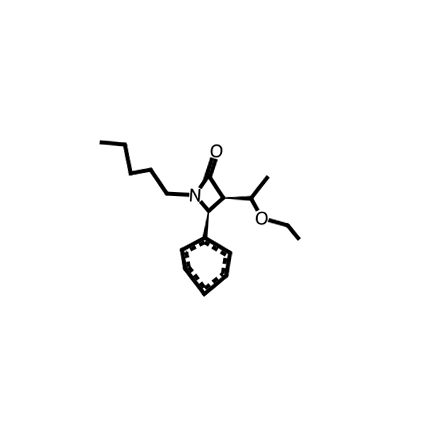 CCCCCN1C(=O)[C@@H](C(C)OCC)[C@H]1c1ccccc1